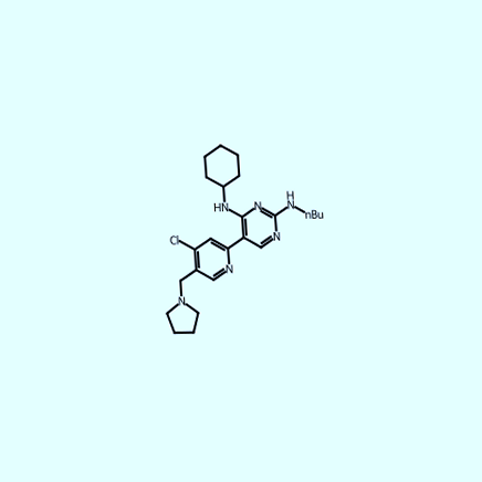 CCCCNc1ncc(-c2cc(Cl)c(CN3CCCC3)cn2)c(NC2CCCCC2)n1